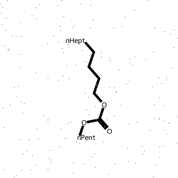 CCCCCCCCCCCOC(=O)OCCCCC